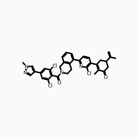 C=C(C)C1CC(=O)C(C)=C(c2ccc(-c3cccc4c3CCN(C(=O)c3c(Cl)cc(-c5cnn(C)c5)cc3Cl)C4)nc2Cl)C1